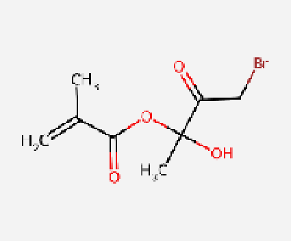 C=C(C)C(=O)OC(C)(O)C(=O)CBr